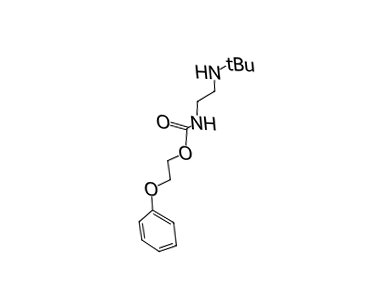 CC(C)(C)NCCNC(=O)OCCOc1ccccc1